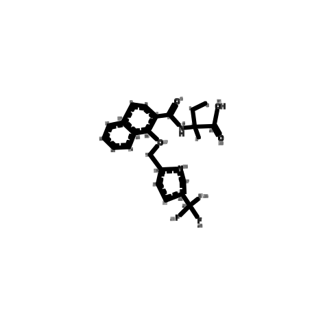 CCC(C)(NC(=O)c1ccc2ccccc2c1OCc1ccc(C(F)(F)F)cn1)C(=O)O